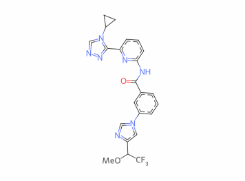 COC(c1cn(-c2cccc(C(=O)Nc3cccc(-c4nncn4C4CC4)n3)c2)cn1)C(F)(F)F